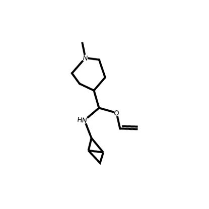 C=COC(NC1C2CC21)C1CCN(C)CC1